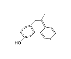 CC(Cc1ccc(O)cc1)=C1C=C[CH]C=C1